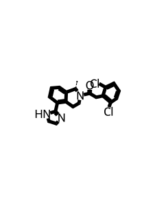 C[C@H]1c2cccc(C3=NCCN3)c2CCN1C(=O)Cc1c(Cl)cccc1Cl